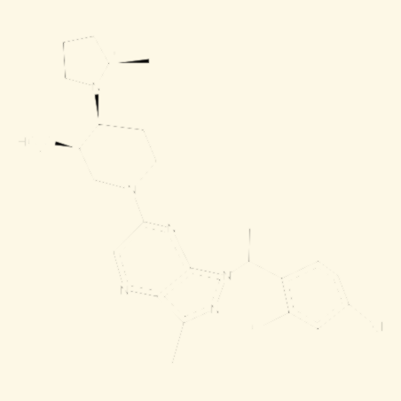 Cc1nn(C(C)c2ccc(Cl)cc2Cl)c2nc(N3CC[C@H](N4CCC[C@H]4C)[C@H](C(=O)O)C3)cnc12